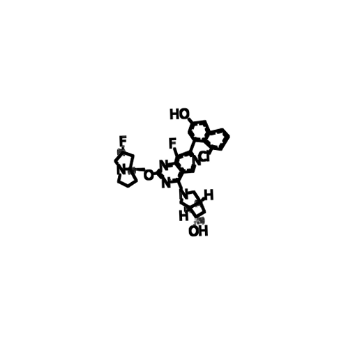 Oc1cc(-c2ncc3c(N4C[C@@H]5C[C@H](O)[C@@H]5C4)nc(OC[C@@]45CCCN4C[C@H](F)C5)nc3c2F)c2c(Cl)cccc2c1